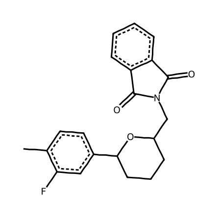 Cc1ccc(C2CCCC(CN3C(=O)c4ccccc4C3=O)O2)cc1F